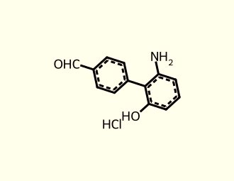 Cl.Nc1cccc(O)c1-c1ccc(C=O)cc1